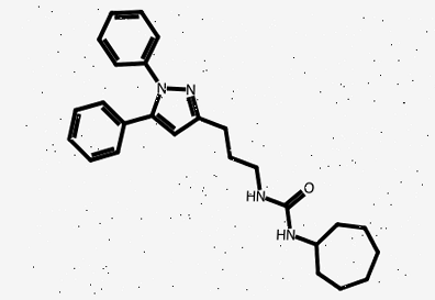 O=C(NCCCc1cc(-c2ccccc2)n(-c2ccccc2)n1)NC1CCCCCC1